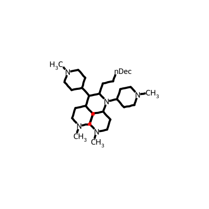 CCCCCCCCCCCCC(C(C1CCN(C)CC1)C1CCN(C)CC1)N(C1CCN(C)CC1)C1CCN(C)CC1